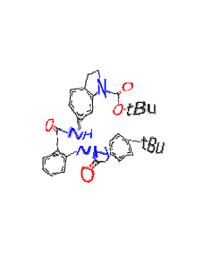 CC(C)(C)OC(=O)N1CCc2ccc(NC(=O)c3ccccc3NC(=O)c3ccc(C(C)(C)C)cc3)cc21